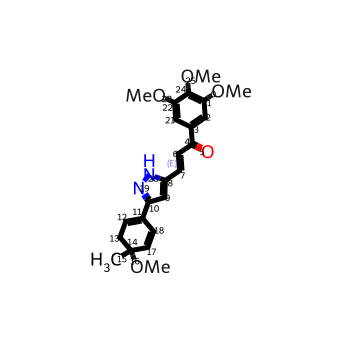 COc1cc(C(=O)/C=C/c2cc(C3=CCC(C)(OC)C=C3)n[nH]2)cc(OC)c1OC